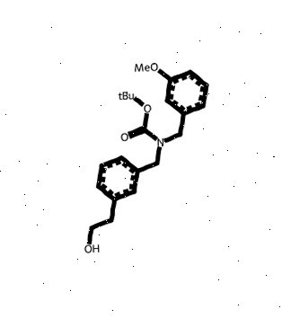 COc1cccc(CN(Cc2cccc(CCO)c2)C(=O)OC(C)(C)C)c1